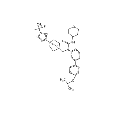 CC(C)Oc1ccc(-c2cccc(N(CC34CCC(c5noc(C(C)(F)F)n5)(CC3)CC4)C(=O)NC3CCOCC3)c2)cc1